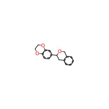 c1ccc2c(c1)COC(c1ccc3c(c1)OCCO3)C2